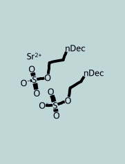 CCCCCCCCCCCCOS(=O)(=O)[O-].CCCCCCCCCCCCOS(=O)(=O)[O-].[Sr+2]